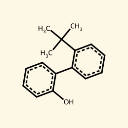 CC(C)(C)c1ccccc1-c1ccccc1O